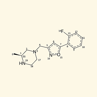 C[C@H]1CN(Cc2cc(-c3ccccc3F)on2)CCN1